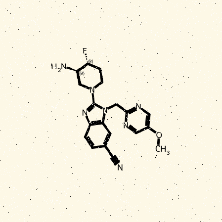 COc1cnc(Cn2c(N3CC[C@@H](F)[C@H](N)C3)nc3ccc(C#N)cc32)nc1